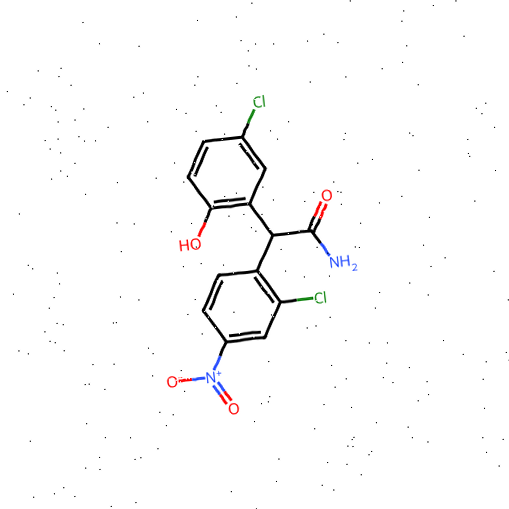 NC(=O)C(c1cc(Cl)ccc1O)c1ccc([N+](=O)[O-])cc1Cl